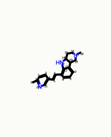 Cc1ccc(C=Cc2cccc3c2NC2CCN(C)CC32)cn1